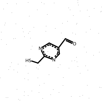 O=Cc1cnc(CS)nc1